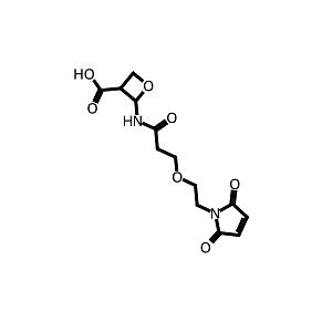 O=C(CCOCCN1C(=O)C=CC1=O)NC1OCC1C(=O)O